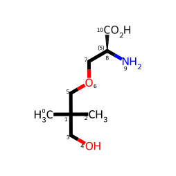 CC(C)(CO)COC[C@H](N)C(=O)O